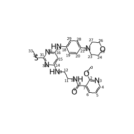 COc1ncccc1C(=O)NCCNc1cc(Nc2ccc(N3CCOCC3)cc2)nc(SC)n1